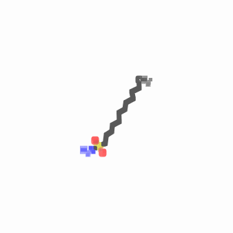 [CH2]CCCCCCCCCCCS(N)(=O)=O